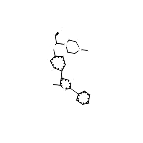 Cc1nc(-c2ccccc2)sc1-c1ccc(OC(C=O)N2CCN(C)CC2)cc1